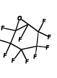 FC1(F)C(F)(F)C(F)(F)C2(F)OC2(F)C1(F)F